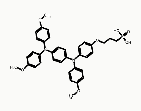 COc1ccc(N(c2ccc(OC)cc2)c2ccc(N(c3ccc(OC)cc3)c3ccc(OCCCP(=O)(O)O)cc3)cc2)cc1